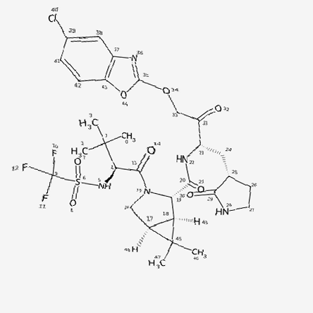 CC(C)(C)[C@H](NS(=O)(=O)C(F)(F)F)C(=O)N1C[C@H]2[C@@H]([C@H]1C(=O)N[C@@H](C[C@@H]1CCNC1=O)C(=O)COc1nc3cc(Cl)ccc3o1)C2(C)C